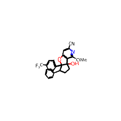 COc1nc(C#N)cc2c1C1(O)CCC(c3ccccc3)C1(c1ccc(C(F)(F)F)cc1)O2